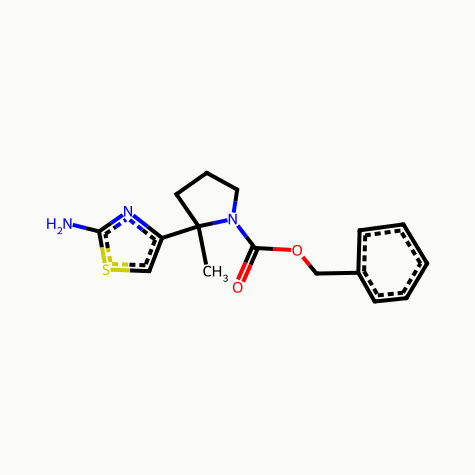 CC1(c2csc(N)n2)CCCN1C(=O)OCc1ccccc1